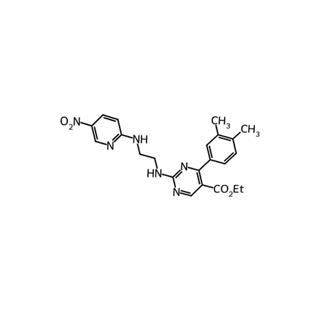 CCOC(=O)c1cnc(NCCNc2ccc([N+](=O)[O-])cn2)nc1-c1ccc(C)c(C)c1